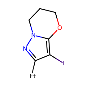 CCc1nn2c(c1I)OCCC2